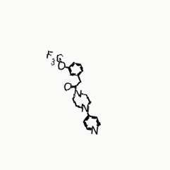 O=C(Cc1cccc(OC(F)(F)F)c1)N1CCN(c2ccncc2)CC1